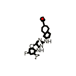 CP(C)c1cc(F)ccc1Nc1nc(Nc2ccc3c(c2)CCC(N2CC4CC2C4)CC3)ncc1Cl